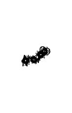 c1cnc(N2CCN(Cc3ccc4c(c3)COCO4)CC2)cn1